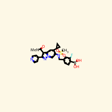 CNC(=O)c1c(-c2ccncc2)nn2cc(N(Cc3ccc(B(O)O)c(F)c3)S(C)(=O)=O)c(C3CC3)cc12